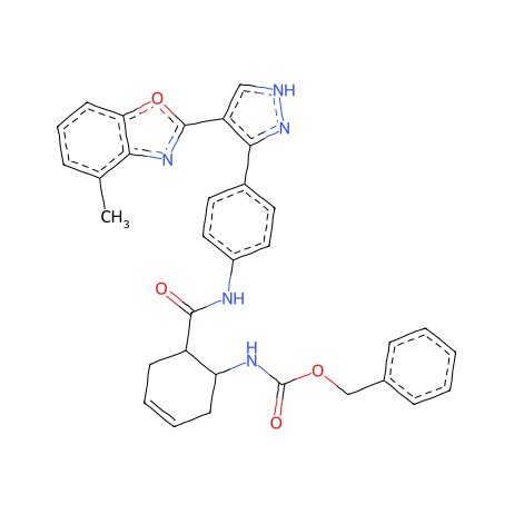 Cc1cccc2oc(-c3c[nH]nc3-c3ccc(NC(=O)C4CC=CCC4NC(=O)OCc4ccccc4)cc3)nc12